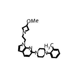 COC1CN(CCn2ccc3ccc(N4CCN(c5ccccc5C)CC4)nc32)C1